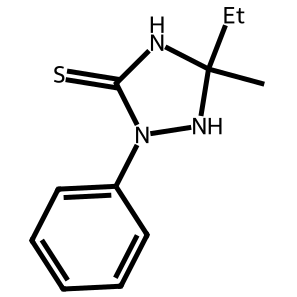 CCC1(C)NC(=S)N(c2ccccc2)N1